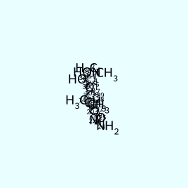 CN(C)[C@H]1C[C@@]23CC[C@@]4(O2)C(=CC(C)(C)[C@]2(C)C(c5ccc6nc(N)oc6c5)=CCC42)C=C3[C@@H](O)[C@@H]1O